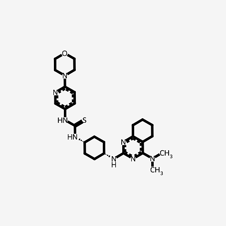 CN(C)c1nc(N[C@H]2CC[C@@H](NC(=S)Nc3ccc(N4CCOCC4)nc3)CC2)nc2c1CCCC2